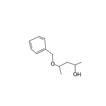 CC(O)CC(C)OCc1ccccc1